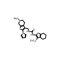 CCOC(=O)c1c(NC(=O)NCc2c(-n3cccc3)sc3c2CCN(SC)C3)sc2c1CCCC2